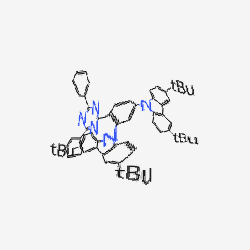 CC(C)(C)c1ccc2c(c1)c1cc(C(C)(C)C)ccc1n2-c1ccc(-c2nc(-c3ccccc3)nc(-c3ccccc3)n2)c(-n2c3ccc(C(C)(C)C)cc3c3cc(C(C)(C)C)ccc32)c1